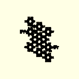 CC(C)c1cc2c3c(c1)N(c1ccccc1)c1ccccc1B3c1cc3c(-c4ccccc4)cc4c5c(cc6c(-c7ccccc7)cc-2c1c6c35)B1c2ccccc2N(c2ccccc2)c2cc(C(C)C)cc-4c21